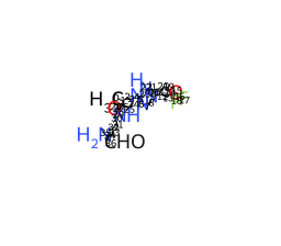 Cc1cc(Nc2nccn3c(-c4ccc(OC(F)F)cc4)cnc23)ccc1C(=O)NCCCCC(N)C=O